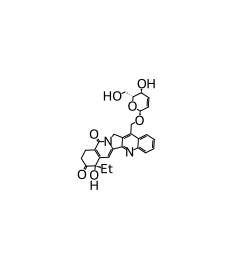 CC[C@@]1(O)C(=O)CCc2c1cc1n(c2=O)Cc2c-1nc1ccccc1c2CO[C@@H]1C=C[C@H](O)[C@@H](CO)O1